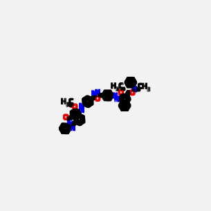 CCOc1cc2c(=O)n3c4ccccc4nc3c3cccc(c1N=Nc1ccc(-c4nnc(-c5ccc(N=Nc6c(OCC)c(CON(CC)c7ccccc7)cc7ccccc67)cc5)o4)cc1)c23